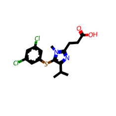 CC(C)c1nc(CCC(=O)O)n(C)c1Sc1cc(Cl)cc(Cl)c1